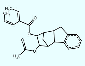 C/C=C\C(=C/C)C(=O)OC1C2CC(C1OC(C)=O)C1c3ccccc3CC21